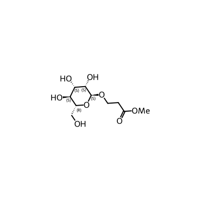 COC(=O)CCO[C@H]1O[C@H](CO)[C@@H](O)[C@H](O)[C@@H]1O